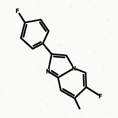 Cc1cc2nc(-c3ccc(F)cc3)cn2cc1F